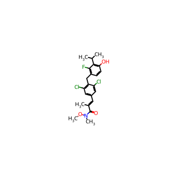 CON(C)C(=O)/C(C)=C/c1cc(Cl)c(Cc2ccc(O)c(C(C)C)c2F)c(Cl)c1